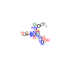 CCc1c(N2CCN(C(=O)c3ncnc(C)c3O)C[C@@H]2C)c(=O)n2nc(-c3cc4c(s3)COCC4)nc2n1CC(=O)Nc1ccc(C(F)(F)F)cc1Cl